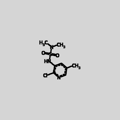 Cc1cnc(Cl)c(NS(=O)(=O)N(C)C)c1